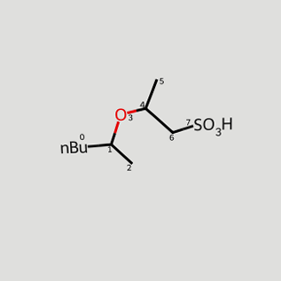 CCCCC(C)OC(C)CS(=O)(=O)O